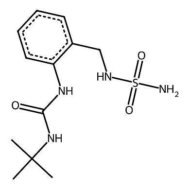 CC(C)(C)NC(=O)Nc1ccccc1CNS(N)(=O)=O